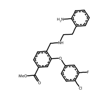 COC(=O)c1ccc(CNCCc2ccccc2N)c(Oc2ccc(Cl)c(F)c2)c1